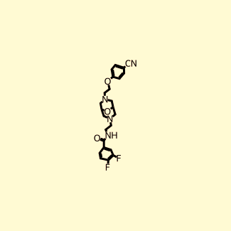 N#Cc1ccc(OCCN2CC3CN(CCNC(=O)c4ccc(F)c(F)c4)CC(C2)O3)cc1